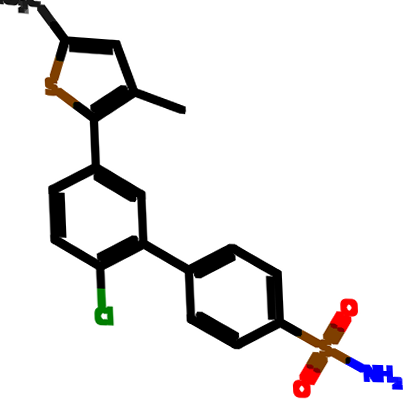 Cc1cc(C(=O)O)sc1-c1ccc(Cl)c(-c2ccc(S(N)(=O)=O)cc2)c1